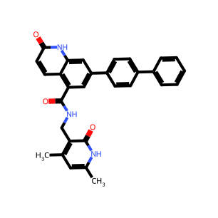 Cc1cc(C)c(CNC(=O)c2cc(-c3ccc(-c4ccccc4)cc3)cc3[nH]c(=O)ccc23)c(=O)[nH]1